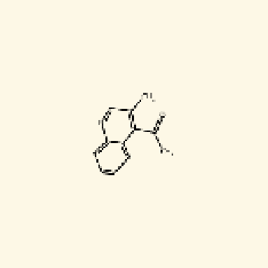 CC(=O)c1c(C)cnc2ccccc12